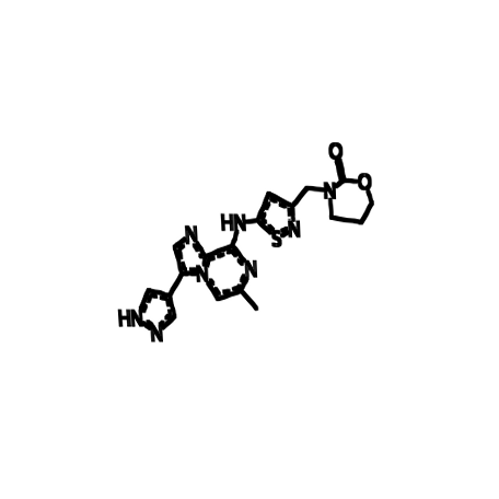 Cc1cn2c(-c3cn[nH]c3)cnc2c(Nc2cc(CN3CCCOC3=O)ns2)n1